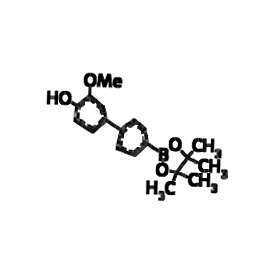 COc1cc(-c2ccc(B3OC(C)(C)C(C)(C)O3)cc2)ccc1O